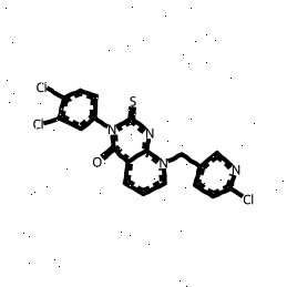 O=c1c2cccn(Cc3ccc(Cl)nc3)c-2nc(=S)n1-c1ccc(Cl)c(Cl)c1